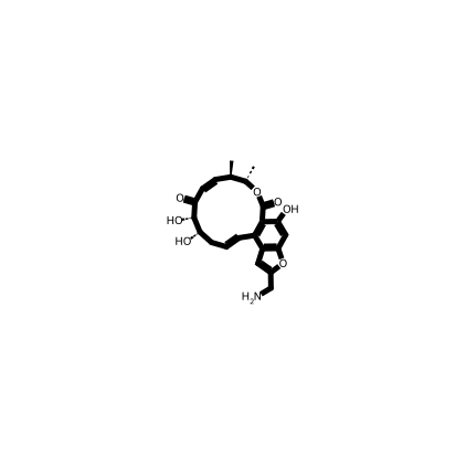 C[C@@H]1/C=C\C(=O)[C@@H](O)[C@@H](O)C/C=C/c2c(c(O)cc3oc(CN)cc23)C(=O)O[C@H]1C